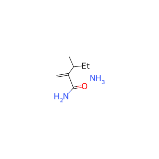 C=C(C(N)=O)C(C)CC.N